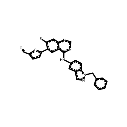 O=Cc1ccc(-c2cc3c(Nc4ccc5c(cnn5Cc5ccccc5)c4)ncnc3cc2F)o1